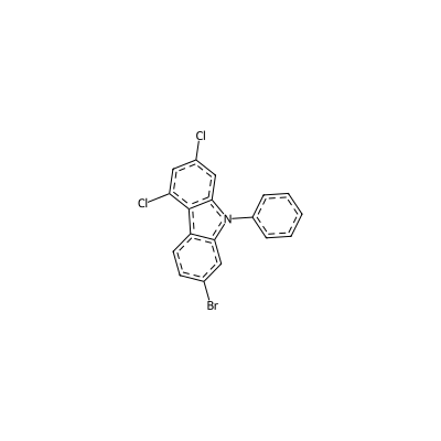 Clc1cc(Cl)c2c3ccc(Br)cc3n(-c3ccccc3)c2c1